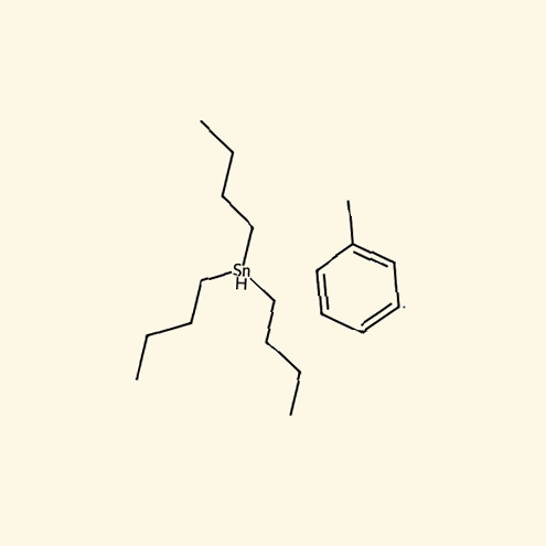 CCC[CH2][SnH]([CH2]CCC)[CH2]CCC.Cc1c[c]ccc1